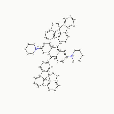 c1ccc2c(c1)CCC21c2ccccc2-c2ccc(-c3c4ccc(N5CCCCC5)cc4c(-c4ccc5c(c4)C4(CCc6ccccc64)c4ccccc4-5)c4ccc(N5CCCCC5)cc34)cc21